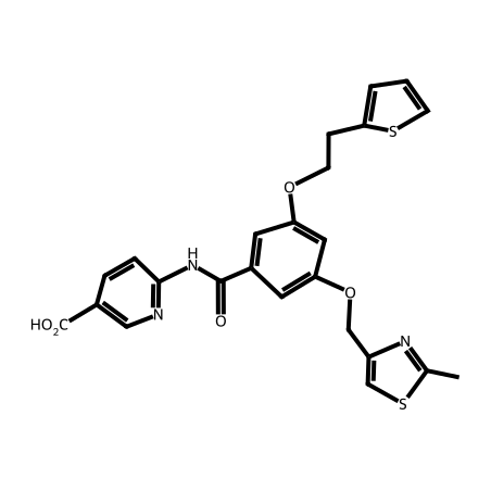 Cc1nc(COc2cc(OCCc3cccs3)cc(C(=O)Nc3ccc(C(=O)O)cn3)c2)cs1